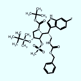 CC(C)(C)OC(=O)N1C[C@@H](O[Si](C)(C)C(C)(C)C)[C@H](OS(C)(=O)=O)[C@H]1[C@@H](CNC(=O)OCc1ccccc1)c1c[nH]c2cc(F)ccc12